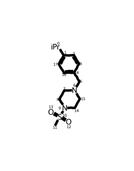 CC(C)c1ccc(CN2CCN(S(C)(=O)=O)CC2)cc1